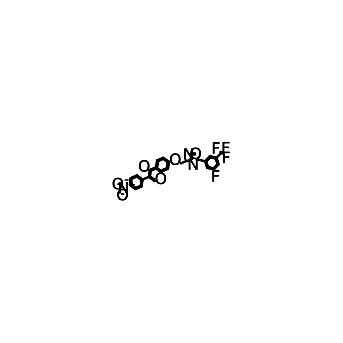 O=c1c(-c2ccc([N+](=O)[O-])cc2)coc2cc(OCc3noc(-c4cc(F)cc(C(F)(F)F)c4)n3)ccc12